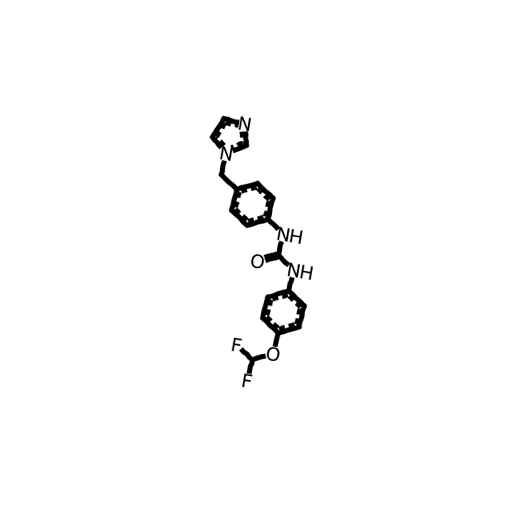 O=C(Nc1ccc(Cn2ccnc2)cc1)Nc1ccc(OC(F)F)cc1